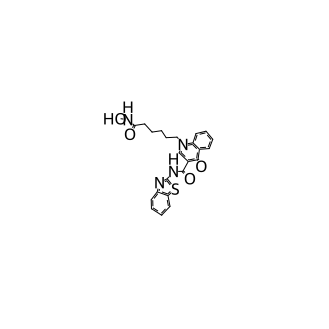 O=C(CCCCCn1cc(C(=O)Nc2nc3ccccc3s2)c(=O)c2ccccc21)NO